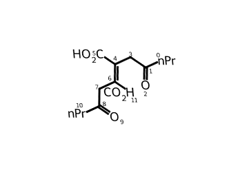 CCCC(=O)C/C(C(=O)O)=C(/CC(=O)CCC)C(=O)O